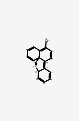 OC1=C2C=CC=CC23C=NC2C=CC=CC2=C3C=C1